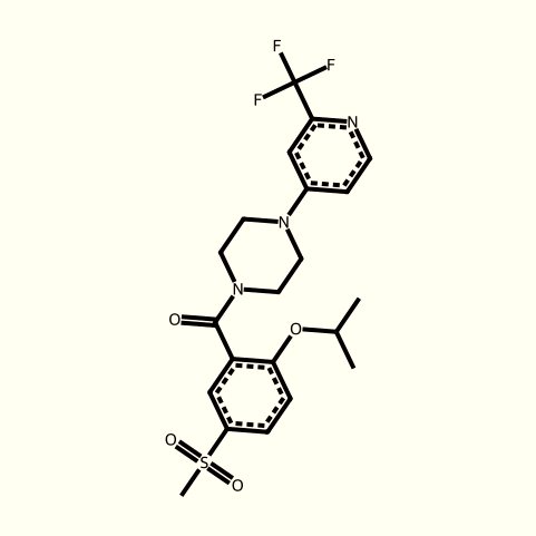 CC(C)Oc1ccc(S(C)(=O)=O)cc1C(=O)N1CCN(c2ccnc(C(F)(F)F)c2)CC1